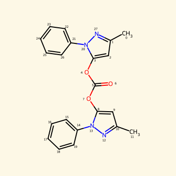 Cc1cc(OC(=O)Oc2cc(C)nn2-c2ccccc2)n(-c2ccccc2)n1